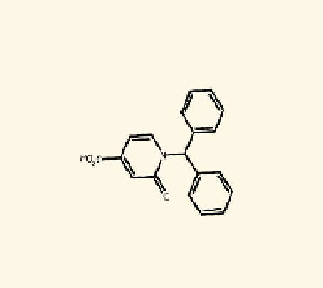 O=C(O)c1ccn(C(c2ccccc2)c2ccccc2)c(=O)c1